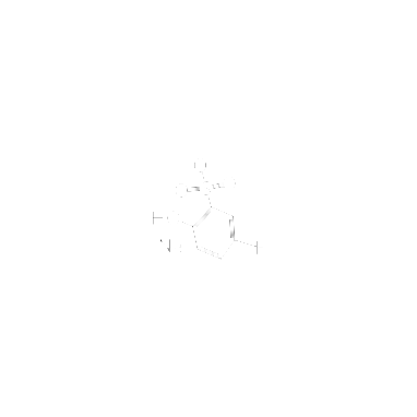 O=S(=O)([O-])c1cc(F)ccc1O.[Na+]